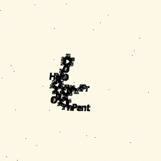 CCCCCc1ccc(C(=O)N(Cc2ccc(NC(=O)COc3ccccc3)cc2)C2CCN(CCC(C)C)CC2)cc1